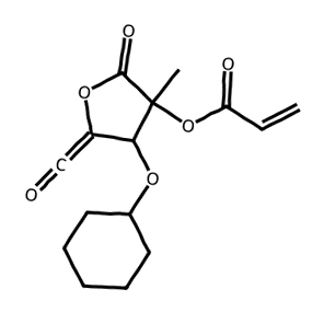 C=CC(=O)OC1(C)C(=O)OC(=C=O)C1OC1CCCCC1